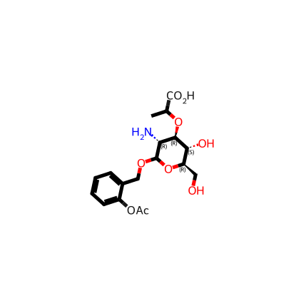 CC(=O)Oc1ccccc1COC1O[C@H](CO)[C@@H](O)[C@H](OC(C)C(=O)O)[C@H]1N